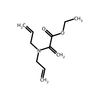 C=CCN(CC=C)C(=C)C(=O)OCC